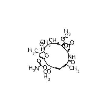 COC1=C2C[C@@H](C)C[C@H](OC)[C@H]3OC(=C[C@@H]3C)[C@H](OC(N)=O)[C@@H](OC)/C=C\C=C(/C)C(=O)NC(=CC1=O)C2=O